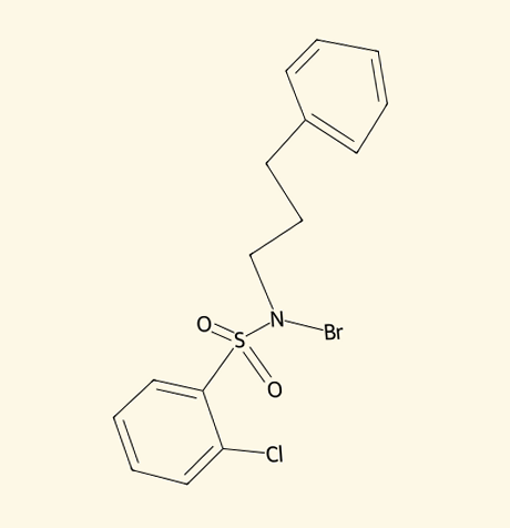 O=S(=O)(c1ccccc1Cl)N(Br)CCCc1ccccc1